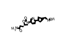 NC(=O)CC[C@H]1CN(c2ccc(C3=CC4C(C=NO)C4C3)nc2)C(=O)O1